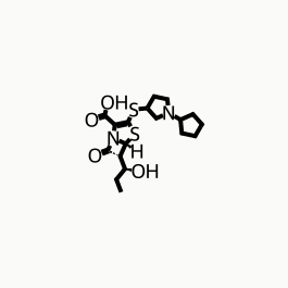 CC[C@H](O)[C@@H]1C(=O)N2C(C(=O)O)=C(SC3CCN(C4CCCC4)C3)S[C@H]12